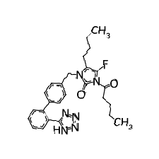 CCCCC(=O)n1c(F)c(CCCC)n(Cc2ccc(-c3ccccc3-c3nnn[nH]3)cc2)c1=O